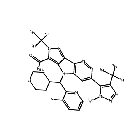 [2H]C([2H])([2H])c1nnn(C)c1-c1cnc2c3nn(C([2H])([2H])[2H])c(C(N)=O)c3n(C(c3ncccc3F)C3CCOCC3)c2c1